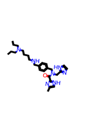 CCCN(CCC)CCCCNCc1ccc(CN(Cc2ncc[nH]2)C(=O)c2nc(C)c[nH]2)cc1